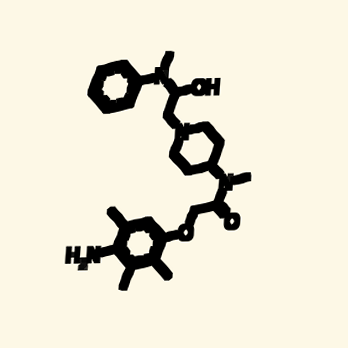 Cc1cc(OCC(=O)N(C)C2CCN(CC(O)N(C)c3ccccc3)CC2)c(C)c(C)c1N